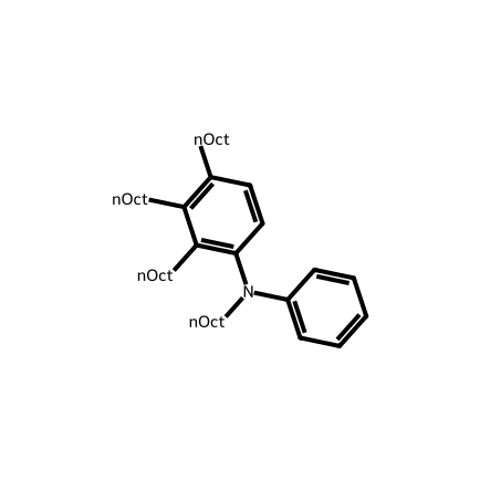 CCCCCCCCc1ccc(N(CCCCCCCC)c2ccccc2)c(CCCCCCCC)c1CCCCCCCC